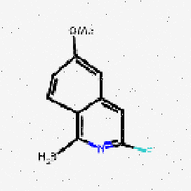 Bc1nc(F)cc2cc(OC)ccc12